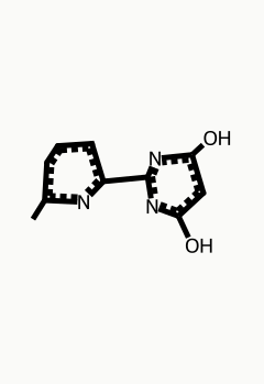 Cc1cccc(-c2nc(O)cc(O)n2)n1